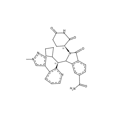 Cn1cc(-c2cccnc2[C@@H](C2CCC2)C2c3cc(C(N)=O)ccc3C(=O)N2[C@H]2CCC(=O)NC2=O)cn1